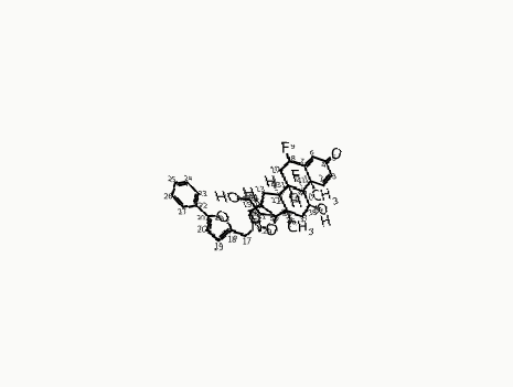 C[C@]12C=CC(=O)C=C1C(F)C[C@H]1[C@@H]3C[C@H]4CN(Cc5ccc(-c6ccccc6)o5)O[C@@]4(C(=O)CO)[C@@]3(C)C[C@H](O)[C@@]12F